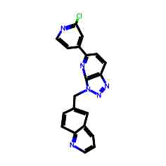 Clc1cc(-c2ccc3nnn(Cc4ccc5ncccc5c4)c3n2)ccn1